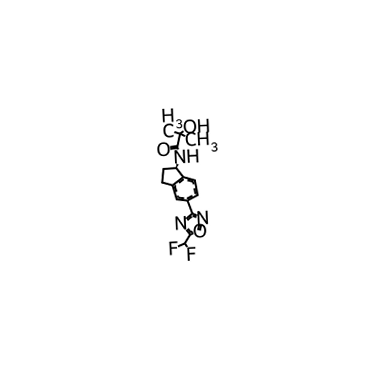 CC(C)(O)C(=O)N[C@@H]1CCc2cc(-c3noc(C(F)F)n3)ccc21